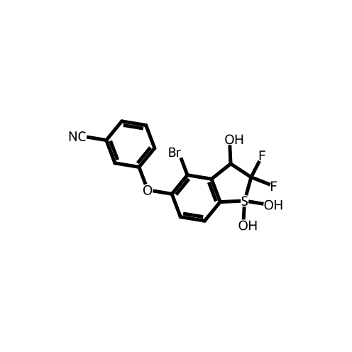 N#Cc1cccc(Oc2ccc3c(c2Br)C(O)C(F)(F)S3(O)O)c1